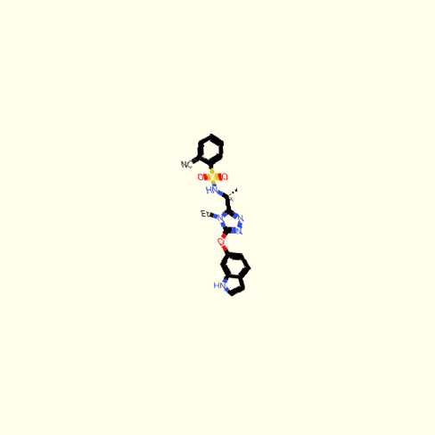 CCn1c(Oc2ccc3cc[nH]c3c2)nnc1[C@@H](C)NS(=O)(=O)c1ccccc1C#N